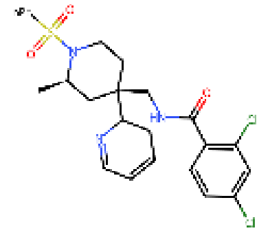 CCCS(=O)(=O)N1CC[C@](CNC(=O)c2ccc(Cl)cc2Cl)(C2CC=CC=N2)C[C@H]1C